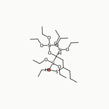 CCCC(CC(O[Si](OCC)(OCC)OCC)([SiH](OCC)OCC)[Si](OCC)(OCC)OCC)SS